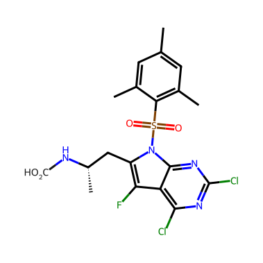 Cc1cc(C)c(S(=O)(=O)n2c(C[C@H](C)NC(=O)O)c(F)c3c(Cl)nc(Cl)nc32)c(C)c1